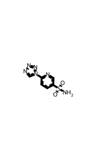 NS(=O)(=O)c1ccc(-n2cnnn2)nc1